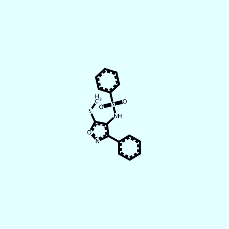 CSc1onc(-c2ccccc2)c1NS(=O)(=O)c1ccccc1